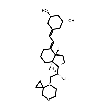 C[C@H](CN1CCOCC12CC2)[C@H]1CC[C@H]2/C(=C/C=C3C[C@@H](O)C[C@H](O)C3)CCC[C@]12C